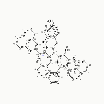 Cc1ccc(Cc2c3/c(=C(\C#N)C4=Nc5cccc6cccc(c56)O4)n(B(c4ccccc4)c4ccccc4)c(-c4ccccc4C)c3/c(=C(\C#N)C3=Nc4cccc5cccc(c45)O3)n2Bc2ccccc2)cc1